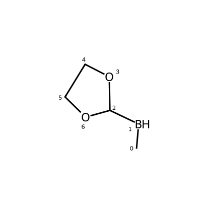 CBC1OCCO1